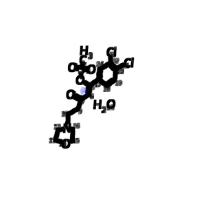 CS(=O)(=O)O/C(=C\C(=O)CCN1CCOCC1)c1ccc(Cl)c(Cl)c1.O